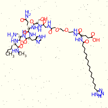 CCCC[C@H](NC(=O)[C@H](CN)NC(=O)[C@H](Cc1c[nH]cn1)NC(=O)[C@H](CCC(N)=O)NC(=O)[C@H](CO)NC(=O)CNC(=O)COCCOCCNC(=O)[C@@H](CCC(=O)O)NC(=O)CCCCCCCCCCCCCCCc1nnn[nH]1)C(=O)NC